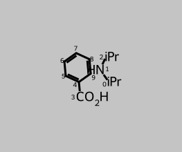 CC(C)NC(C)C.O=C(O)c1ccccc1